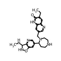 CCc1cc2ncc(CN3CCNCCC3c3cnc4c(c3)ONC4NC)cc2[nH]c1=O